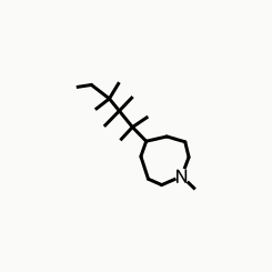 CCC(C)(C)C(C)(C)C(C)(C)C1CCCN(C)CCC1